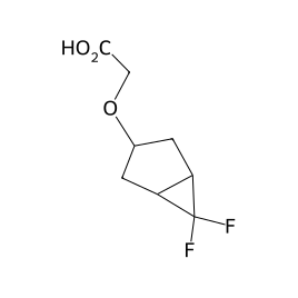 O=C(O)COC1CC2C(C1)C2(F)F